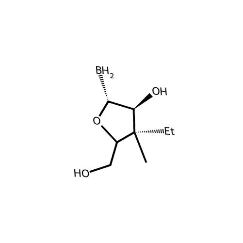 B[C@H]1OC(CO)[C@@](C)(CC)[C@@H]1O